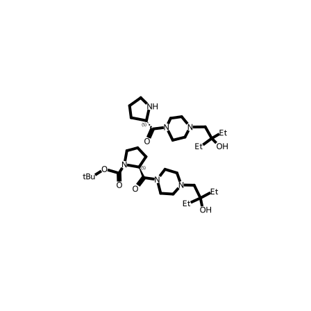 CCC(O)(CC)CN1CCN(C(=O)[C@@H]2CCCN2)CC1.CCC(O)(CC)CN1CCN(C(=O)[C@@H]2CCCN2C(=O)OC(C)(C)C)CC1